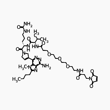 CCCCc1nc2c(N)nnc(C3=CCN(C(=O)[C@H](CCCNC(N)=O)NC(=O)[C@@H](NC(=O)CCOCCOCCOCCNC(=O)CCN4C(=O)C=CC4=O)C(C)C)C3)c2n1C